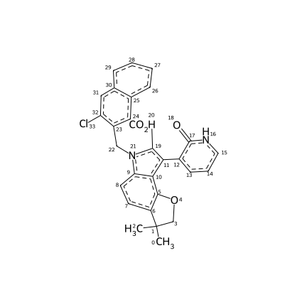 CC1(C)COc2c1ccc1c2c(-c2ccc[nH]c2=O)c(C(=O)O)n1Cc1cc2ccccc2cc1Cl